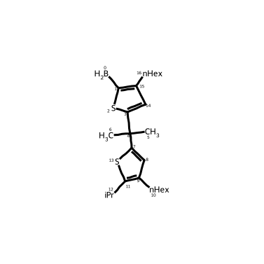 Bc1sc(C(C)(C)c2cc(CCCCCC)c(C(C)C)s2)cc1CCCCCC